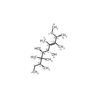 CC[C@H](C)C(C)(C)[C@@H](O)[C@@H](O)/C(C)=C(\C)[C@H](C)OC